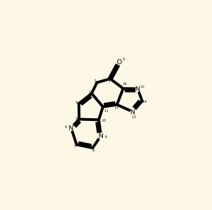 O=C1CC2=Cc3nccnc3C2=C2N=CN=C12